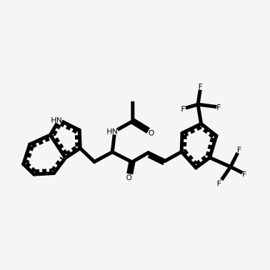 CC(=O)NC(Cc1c[nH]c2ccccc12)C(=O)C=Cc1cc(C(F)(F)F)cc(C(F)(F)F)c1